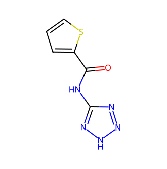 O=C(Nc1nn[nH]n1)c1cccs1